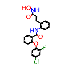 O=C(/C=C/c1ccccc1NC(=O)c1ccccc1Oc1ccc(Cl)cc1F)NO